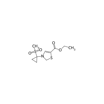 CCOC(=O)C1=CN(C2(S(C)(=O)=O)CC2)CS1